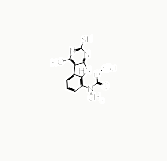 CN(C(=O)OC(C)(C)C)c1cccc2c1[nH]c1nc(S)nc(O)c12